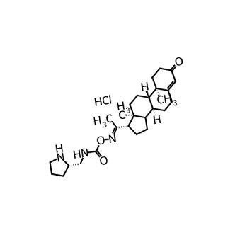 C/C(=N\OC(=O)NC[C@@H]1CCCN1)[C@H]1CCC2[C@@H]3CCC4=CC(=O)CC[C@]4(C)[C@H]3CC[C@@]21C.Cl